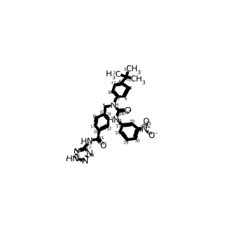 CC(C)(C)c1ccc(N(Cc2ccc(C(=O)Nc3nn[nH]n3)cc2)C(=O)Nc2cccc([N+](=O)[O-])c2)cc1